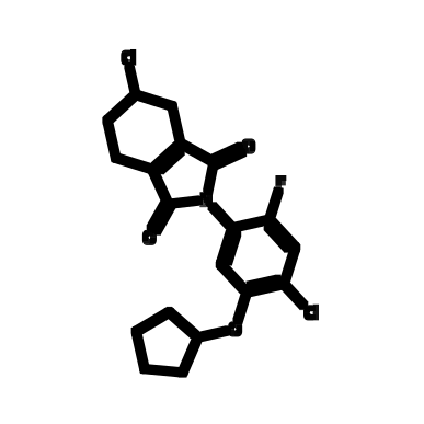 O=C1C2=C(CC(Cl)CC2)C(=O)N1c1cc(OC2CCCC2)c(Cl)cc1F